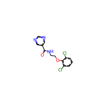 O=C(NCCOc1c(Cl)cccc1Cl)c1cncnc1